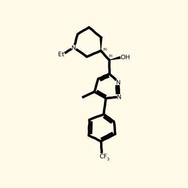 CCN1CCC[C@@H]([C@@H](O)c2cc(C)c(-c3ccc(C(F)(F)F)cc3)nn2)C1